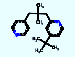 CC(C)(Cc1ccncc1)Cc1cc(C(C)(C)C)ccn1